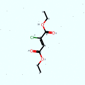 CCOC(=O)C=C(Cl)C(=O)OCC